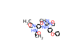 C=CC(=O)Nc1cc(Nc2cc(N3OCC[C@@H]3c3cccc(Oc4ccccc4)c3)ncn2)c(OC)cc1N1CCO[C@H](C)C1